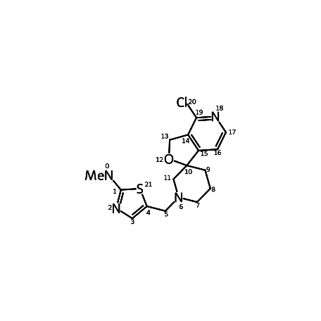 CNc1ncc(CN2CCCC3(C2)OCc2c3ccnc2Cl)s1